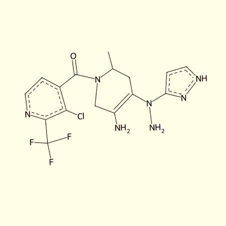 CC1CC(N(N)c2cc[nH]n2)=C(N)CN1C(=O)c1ccnc(C(F)(F)F)c1Cl